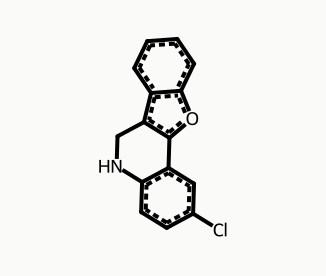 Clc1ccc2c(c1)-c1oc3ccccc3c1CN2